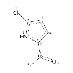 CC(=O)c1ccc(Cl)[nH]1